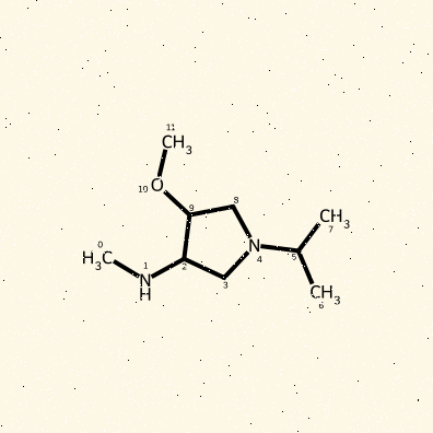 CNC1CN(C(C)C)CC1OC